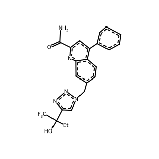 CCC(O)(c1cn(Cc2ccc3c(-c4ccccc4)cc(C(N)=O)nc3c2)nn1)C(F)(F)F